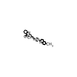 Cc1ccc2nc(N3CCN(CCCCc4nc5c(c(=O)n4C)CCCC5)CC3)ccc2c1